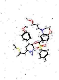 CCSC(C)C[C@H]1C[C@H](c2ccc(OC)cc2)[C@@H](OC(c2ccc3c(c2)N(CCCOC)CCO3)S(=O)(=O)c2ccc(C)cc2)CN1